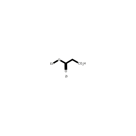 CCOC(=O)CC(=O)O.[Zr]